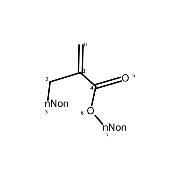 C=C(CCCCCCCCCC)C(=O)OCCCCCCCCC